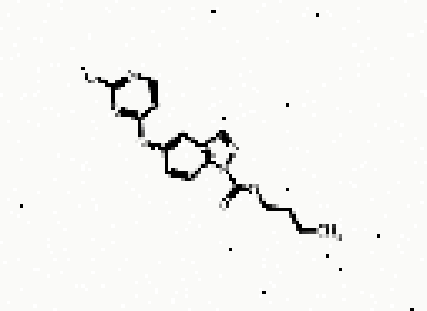 CCCCOC(=O)n1ncc2cc(Oc3ccnc(Cl)n3)ccc21